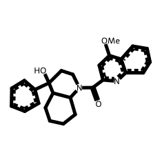 COc1cc(C(=O)N2CCC(O)(c3ccccc3)C3CCCCC32)nc2ccccc12